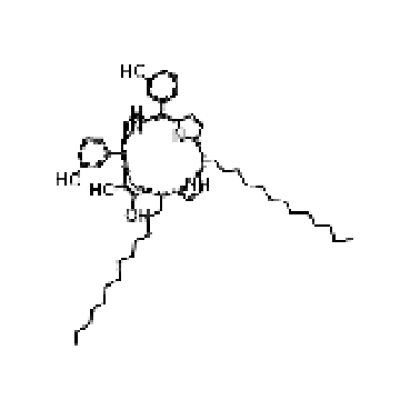 CCCCCCCCCCCCCc1c2nc(c(-c3cccc(O)c3)c3ccc([nH]3)c(-c3cccc(O)c3)c3nc(c(CCCCCCCCCCCCC)c4ccc1[nH]4)C(O)=C3O)C=C2